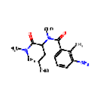 Cc1c(N)cccc1C(=O)N(C=O)C(CCC=O)C(=O)N(C)C